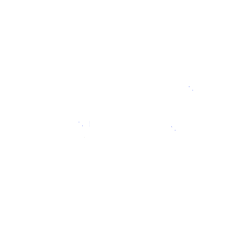 O=C(NCCO)c1ccc(-c2cccc3c2ccn3Cc2cccnc2)cc1